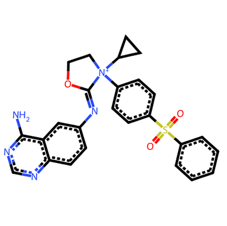 Nc1ncnc2ccc(N=C3OCC[N+]3(c3ccc(S(=O)(=O)c4ccccc4)cc3)C3CC3)cc12